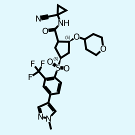 Cn1cc(-c2ccc(S(=O)(=O)[C@H]3CC(C(=O)NC4(C#N)CC4)[C@@H](OC4CCOCC4)C3)c(C(F)(F)F)c2)cn1